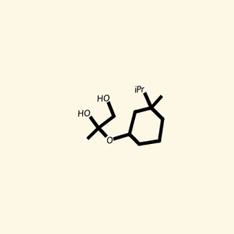 CC(C)C1(C)CCCC(OC(C)(O)CO)C1